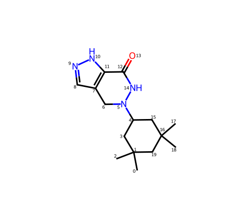 CC1(C)CC(N2Cc3cn[nH]c3C(=O)N2)CC(C)(C)C1